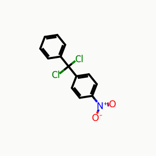 O=[N+]([O-])c1ccc(C(Cl)(Cl)c2ccccc2)cc1